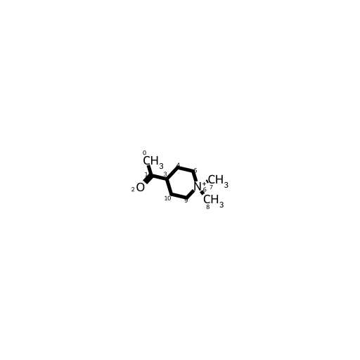 CC(=O)C1CC[N+](C)(C)CC1